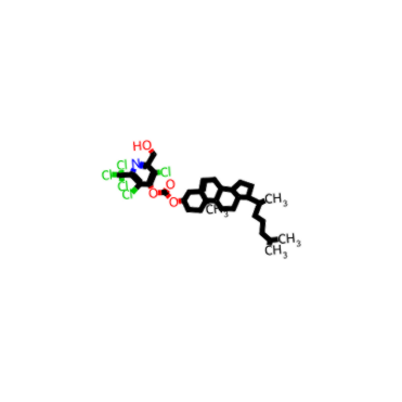 CC(C)CCCC(C)C1CCC2C1CCC1C2CC=C2CC(OC(=O)Oc3c(Cl)c(CO)nc(C(Cl)(Cl)Cl)c3Cl)CCC21C